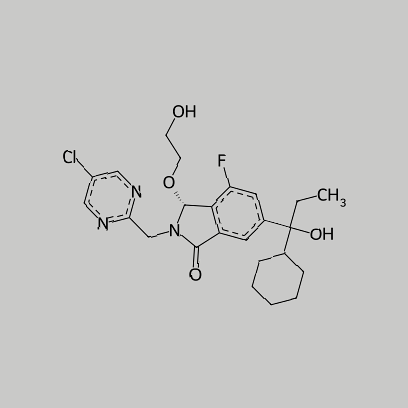 CCC(O)(c1cc(F)c2c(c1)C(=O)N(Cc1ncc(Cl)cn1)[C@@H]2OCCO)C1CCCCC1